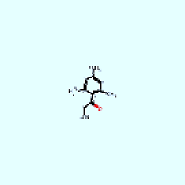 Cc1cc(C)c(C(=O)CC#N)c(C)c1